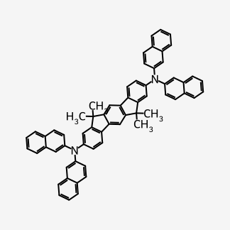 CC1(C)c2cc(N(c3ccc4ccccc4c3)c3ccc4ccccc4c3)ccc2-c2cc3c(cc21)-c1ccc(N(c2ccc4ccccc4c2)c2ccc4ccccc4c2)cc1C3(C)C